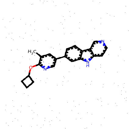 Cc1cc(-c2ccc3c(c2)[nH]c2ccncc23)cnc1OC1CCC1